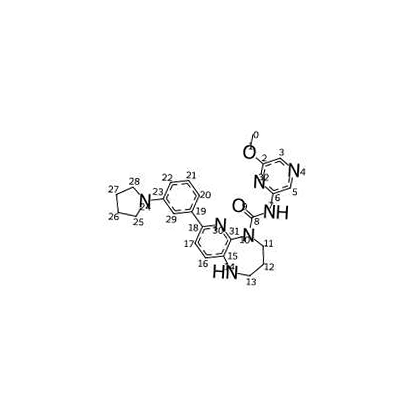 COc1cncc(NC(=O)N2CCCNc3ccc(-c4cccc(N5CCCC5)c4)nc32)n1